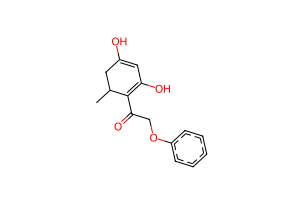 CC1CC(O)=CC(O)=C1C(=O)COc1ccccc1